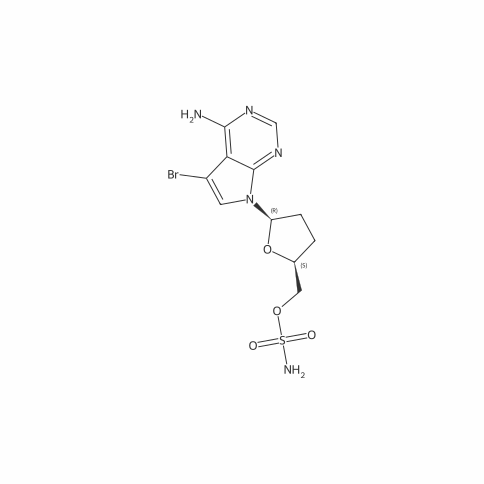 Nc1ncnc2c1c(Br)cn2[C@H]1CC[C@@H](COS(N)(=O)=O)O1